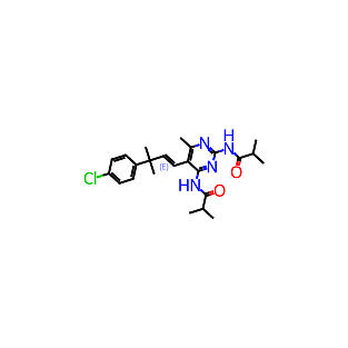 Cc1nc(NC(=O)C(C)C)nc(NC(=O)C(C)C)c1/C=C/C(C)(C)c1ccc(Cl)cc1